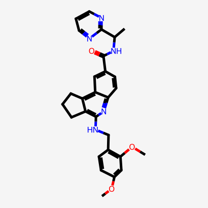 COc1ccc(CNc2nc3ccc(C(=O)NC(C)c4ncccn4)cc3c3c2CCC3)c(OC)c1